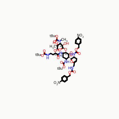 CN(C(=O)OC(C)(C)C)[C@@H]1[C@@H](O)[C@@H](O[C@H]2[C@H](NC(=O)[C@@H](O)CCNC(=O)OC(C)(C)C)C[C@H](NC(=O)OC(C)(C)C)C([C@H]3OC(CNC(=O)OCc4ccc([N+](=O)[O-])cc4)=CC[C@H]3NC(=O)OCc3ccc([N+](=O)[O-])cc3)[C@@H]2O)OC[C@]1(C)O